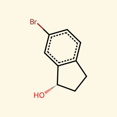 O[C@H]1CCc2ccc(Br)cc21